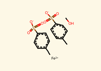 CO.Cc1ccc(S(=O)(=O)[O-])cc1.Cc1ccc(S(=O)(=O)[O-])cc1.[Fe+2]